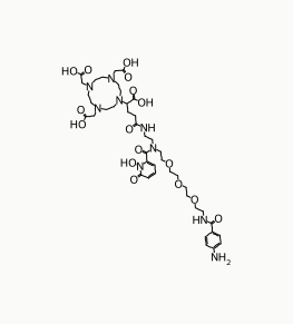 Nc1ccc(C(=O)NCCOCCOCCOCCN(CCNC(=O)CCC(C(=O)O)N2CCN(CC(=O)O)CCN(CC(=O)O)CCN(CC(=O)O)CC2)C(=O)c2cccc(=O)n2O)cc1